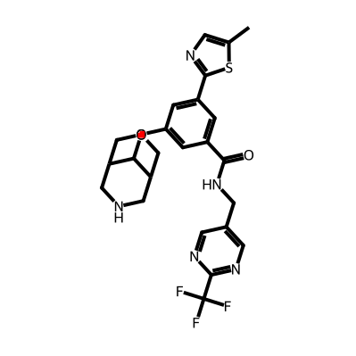 Cc1cnc(-c2cc(OC3C4CNCC3COC4)cc(C(=O)NCc3cnc(C(F)(F)F)nc3)c2)s1